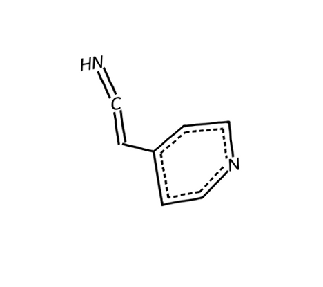 N=C=Cc1ccncc1